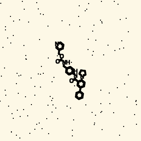 O=C(NCc1ccc(NC(=O)c2cc(-c3ccccc3)ccc2N2CCCC2)cc1)OCc1cccnc1